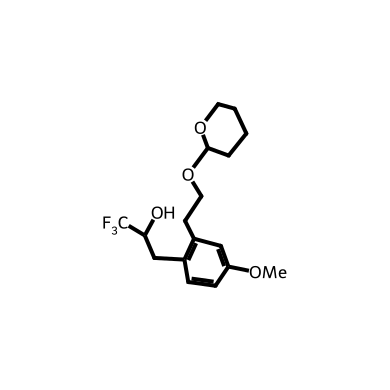 COc1ccc(CC(O)C(F)(F)F)c(CCOC2CCCCO2)c1